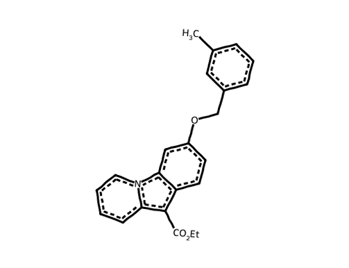 CCOC(=O)c1c2ccc(OCc3cccc(C)c3)cc2n2ccccc12